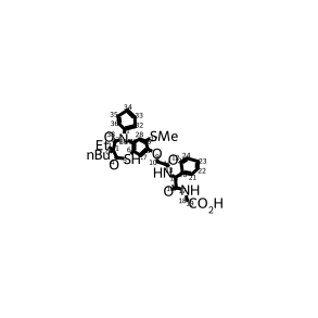 CCCCC1(CC)C(=O)[SH]c2cc(OCC(=O)NC(C(=O)NCC(=O)O)c3ccccc3)c(SC)cc2N(c2ccccc2)C1=O